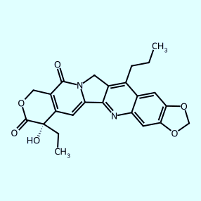 CCCc1c2c(nc3cc4c(cc13)OCO4)-c1cc3c(c(=O)n1C2)COC(=O)[C@]3(O)CC